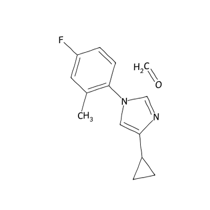 C=O.Cc1cc(F)ccc1-n1cnc(C2CC2)c1